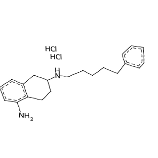 Cl.Cl.Nc1cccc2c1CCC(NCCCCCc1ccccc1)C2